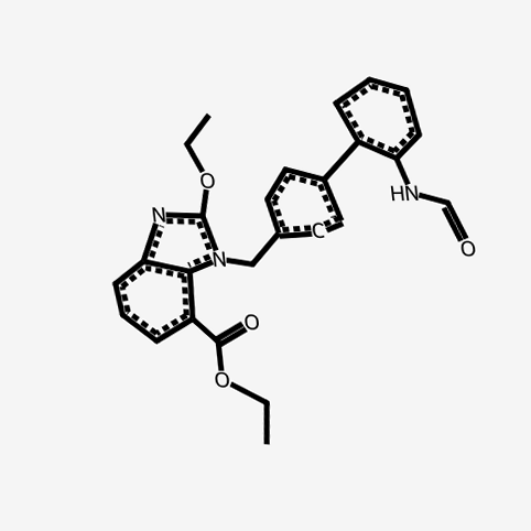 CCOC(=O)c1cccc2nc(OCC)n(Cc3ccc(-c4ccccc4NC=O)cc3)c12